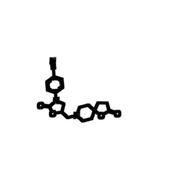 N#Cc1ccc(N2CC(CN3CCC4(CCC(=O)O4)CC3)OC2=O)cc1